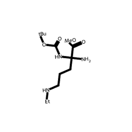 CCNCCCC(N)(NC(=O)OC(C)(C)C)C(=O)OC